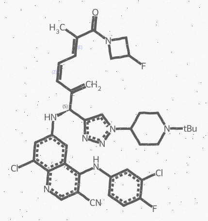 C=C(/C=C\C=C(/C)C(=O)N1CC(F)C1)[C@H](Nc1cc(Cl)c2ncc(C#N)c(Nc3ccc(F)c(Cl)c3)c2c1)c1cn(C2CCN(C(C)(C)C)CC2)nn1